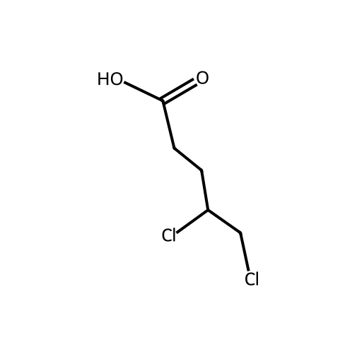 O=C(O)CCC(Cl)CCl